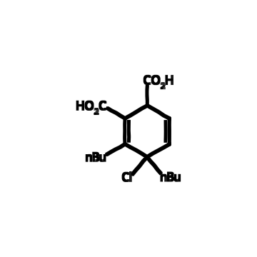 CCCCC1=C(C(=O)O)C(C(=O)O)C=CC1(Cl)CCCC